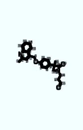 Cc1cc(COc2ccc(C3(C)CN(CCC=O)C3=O)cc2)c2ccccc2n1